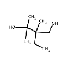 CCC(C)(CO)C(C)(C)O